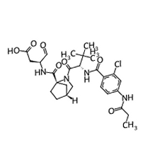 CCC(=O)Nc1ccc(C(=O)N[C@H](C(=O)N2C[C@@H]3CC[C@@]2(C(=O)N[C@H](C=O)CC(=O)O)C3)C(C)(C)C)c(Cl)c1